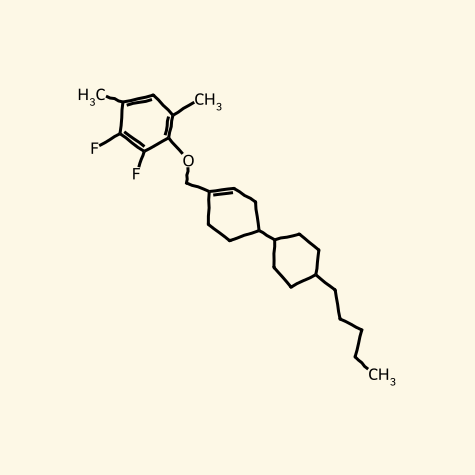 CCCCCC1CCC(C2CC=C(COc3c(C)cc(C)c(F)c3F)CC2)CC1